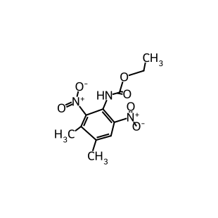 CCOC(=O)Nc1c([N+](=O)[O-])cc(C)c(C)c1[N+](=O)[O-]